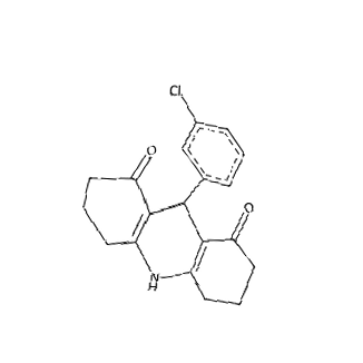 O=C1CCCC2=C1C(c1cccc(Cl)c1)C1=C(CCCC1=O)N2